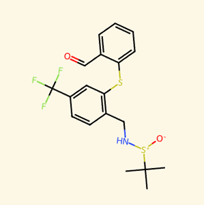 CC(C)(C)[S+]([O-])NCc1ccc(C(F)(F)F)cc1Sc1ccccc1C=O